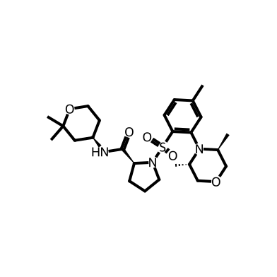 Cc1ccc(S(=O)(=O)N2CCC[C@H]2C(=O)N[C@@H]2CCOC(C)(C)C2)c(N2[C@@H](C)COC[C@@H]2C)c1